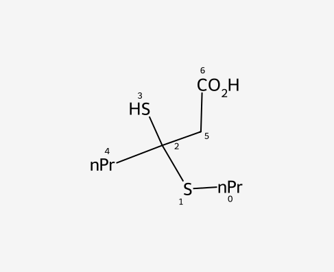 CCCSC(S)(CCC)CC(=O)O